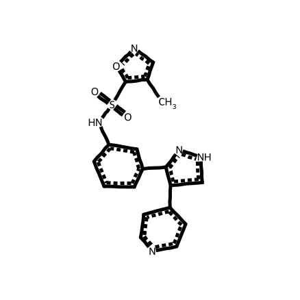 Cc1cnoc1S(=O)(=O)Nc1cccc(-c2n[nH]cc2-c2ccncc2)c1